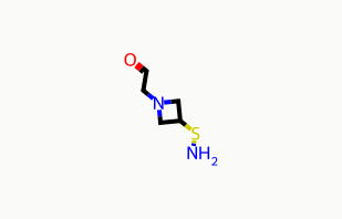 NSC1CN(CC=O)C1